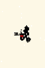 CC(C)(C)C1=CCC(c2c3c(ccc2=C(c2ccccc2)c2ccccc2)=c2ccccc2=[C]3[Zr+2])=C1.[Cl-].[Cl-]